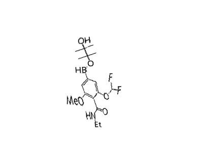 CCNC(=O)c1c(OC)cc(BOC(C)(C)C(C)(C)O)cc1OC(F)F